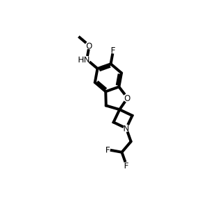 CONc1cc2c(cc1F)OC1(C2)CN(CC(F)F)C1